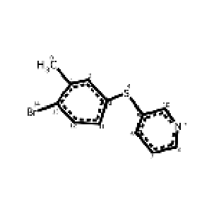 Cc1cc(Sc2cccnc2)ccc1Br